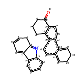 C1=CCC2=Nc3ccccc3C2=C1.O=C1CCCc2c1ccc1c3c(ccc21)=CCCC=3